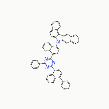 c1ccc(-c2nc(-c3ccc(-c4ccccc4)c4ccccc34)nc(-c3ccc(-n4c5cc6ccccc6cc5c5c6ccccc6ccc54)c4ccccc34)n2)cc1